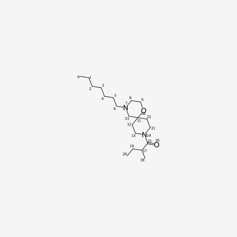 CCCCCCCN1CCOC2(CCN(C(=O)C(C)CC)CC2)C1